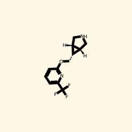 FC(F)(F)c1cccc(OC[C@@H]2[C@@H]3CNC[C@@H]32)n1